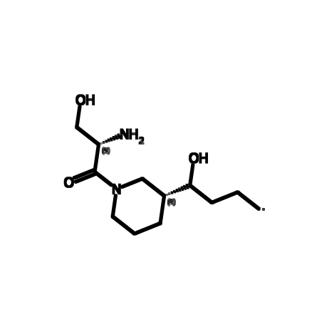 [CH2]CCC(O)[C@@H]1CCCN(C(=O)[C@@H](N)CO)C1